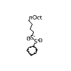 CCCCCCCCCCCC[S+]([O-])[S+]([O-])c1ccccc1